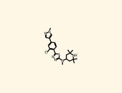 CN(c1nnc(-c2ccc(-c3cnn(C)c3)cc2Cl)s1)C1CC(C)(C)NC(C)(C)C1